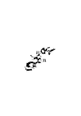 COc1nc(N[C@H]2CC[C@@H](OC(F)F)CC2)nc2[nH]cc(-c3ccc4nccn4n3)c12